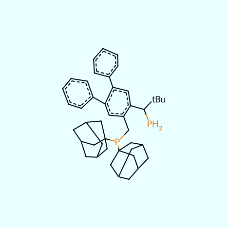 CC(C)(C)C(P)c1cc(-c2ccccc2)c(-c2ccccc2)cc1CP(C12CC3CC(CC(C3)C1)C2)C12CC3CC(CC(C3)C1)C2